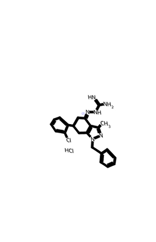 Cc1nn(Cc2ccccc2)c2c1/C(=N\NC(=N)N)CC(c1ccccc1Cl)C2.Cl